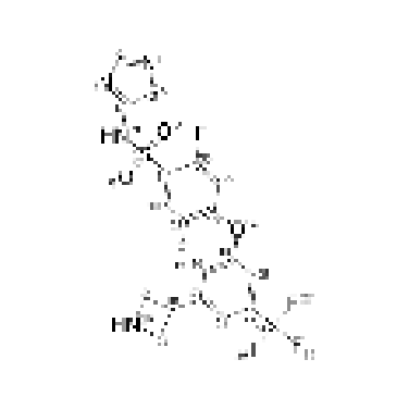 O=S(=O)(Nc1ncns1)c1cc(F)c(Oc2cc(C3CNC3)cc(C(F)(F)F)c2)cc1F